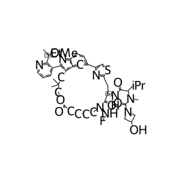 CCn1c(-c2cccnc2[C@H](C)OC)c2c3cc(ccc31)-c1csc(n1)C[C@H](NC(=O)C(C(C)C)N(C)C(=O)N1CC(O)C1)C(=O)N(NF)CCCCC(=O)OCC(C)(C)C2